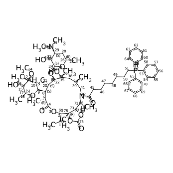 CC[C@H]1OC(=O)[C@H](C)[C@@H](C2C[C@@](C)(OC)[C@@H](O)[C@H](C)O2)[C@H](C)[C@@H](O[C@@H]2O[C@H](C)C[C@H](N(C)C)[C@H]2O)[C@](C)(O)C[C@@H](C)CN(C(=O)CCCCCCC[PH](c2ccccc2)(c2ccccc2)c2ccccc2)[C@H](C)[C@H]2OC(=O)O[C@@]21C